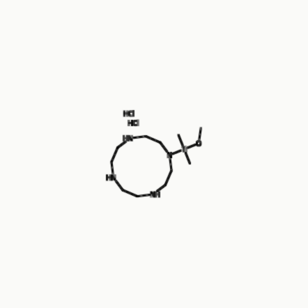 C[O][Ti]([CH3])([CH3])[N]1CCNCCNCCNCC1.Cl.Cl